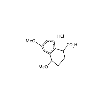 COc1ccc2c(c1)C(OC)CCC2C(=O)O.Cl